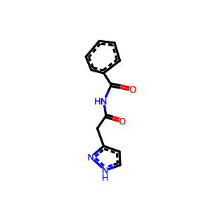 O=C(Cc1cc[nH]n1)NC(=O)c1ccccc1